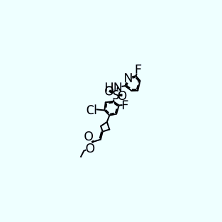 CCOC(=O)C=C1CC(c2cc(F)c(S(=O)(=O)Nc3cccc(F)n3)cc2Cl)C1